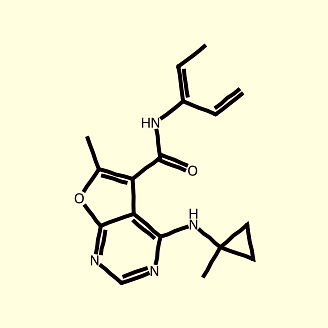 C=C/C(=C\C)NC(=O)c1c(C)oc2ncnc(NC3(C)CC3)c12